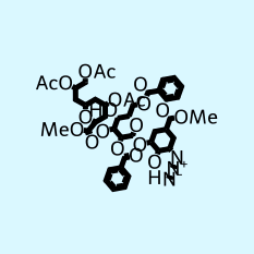 COC(=O)C1CC(N=[N+]=[N-])C(O)C(OC2OC(COC(=O)c3ccccc3)C(O)C(OC3(C(=O)OC)CC(OC(C)=O)CC(CC(COC(C)=O)OC(C)=O)O3)C2OC(=O)c2ccccc2)C1